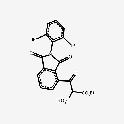 CCOC(=O)C(C(=O)OCC)C(=O)c1cccc2c1C(=O)N(c1c(C(C)C)cccc1C(C)C)C2=O